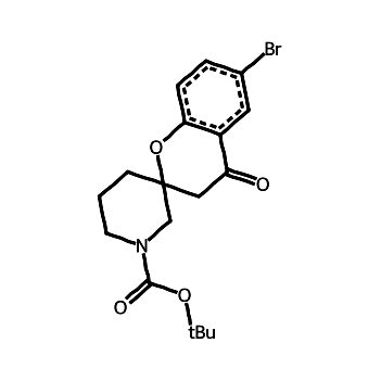 CC(C)(C)OC(=O)N1CCCC2(CC(=O)c3cc(Br)ccc3O2)C1